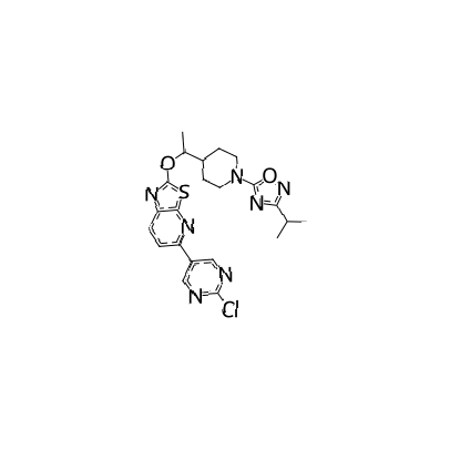 CC(C)c1noc(N2CCC(C(C)Oc3nc4ccc(-c5cnc(Cl)nc5)nc4s3)CC2)n1